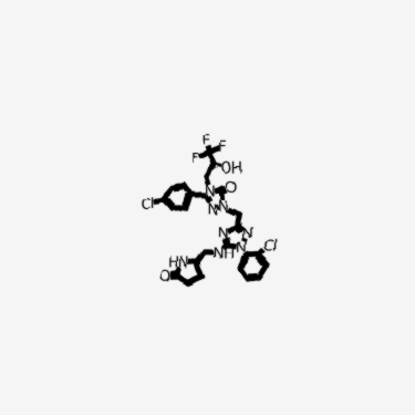 O=C1CCC(CNc2nc(Cn3nc(-c4ccc(Cl)cc4)n(C[C@H](O)C(F)(F)F)c3=O)nn2-c2ccccc2Cl)N1